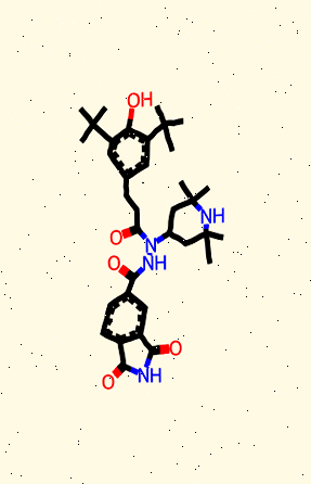 CC1(C)CC(N(NC(=O)c2ccc3c(c2)C(=O)NC3=O)C(=O)CCc2cc(C(C)(C)C)c(O)c(C(C)(C)C)c2)CC(C)(C)N1